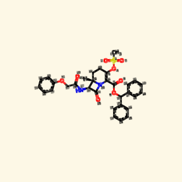 CS(=O)(=O)OC1=C(C(=O)OC(c2ccccc2)c2ccccc2)N2C(=O)[C@@H](NC(=O)COc3ccccc3)[C@@H]2CC1